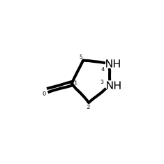 C=C1CNNC1